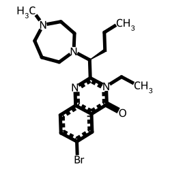 CCC[C@@H](c1nc2ccc(Br)cc2c(=O)n1CC)N1CCCN(C)CC1